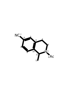 CC(=O)N1CCc2cc(C#N)ccc2C1C